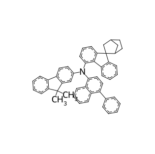 CC1(C)c2ccccc2-c2ccc(N(c3cccc4c3-c3ccccc3C43CC4CCC3C4)c3ccc(-c4ccccc4)c4ccccc34)cc21